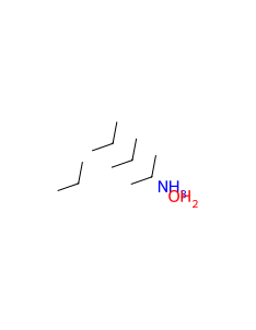 CCC.CCC.CCC.CCC.N.O